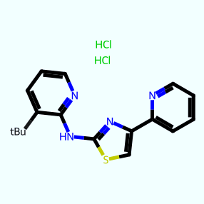 CC(C)(C)c1cccnc1Nc1nc(-c2ccccn2)cs1.Cl.Cl